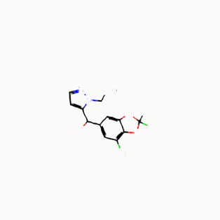 COCn1nccc1C(O)c1cc(Cl)c2c(c1)OC(Cl)(C(=O)O)O2